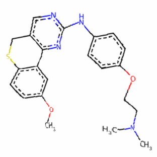 COc1ccc2c(c1)-c1nc(Nc3ccc(OCCN(C)C)cc3)ncc1CS2